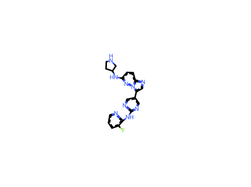 Fc1cccnc1Nc1ncc(-c2cnc3ccc(NC4CCNC4)nn23)cn1